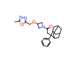 Cc1nnc(COC2CN(C(=O)CC3(c4ccccc4)C4CC5CC(C4)CC3C5)C2)o1